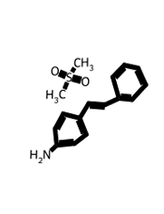 CS(C)(=O)=O.Nc1ccc(C=Cc2ccccc2)cc1